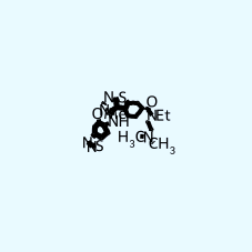 CCN(CCN(C)C)C(=O)[C@H]1CCc2c(sc3ncnc(Nc4cc5snnc5cc4OC)c23)C1